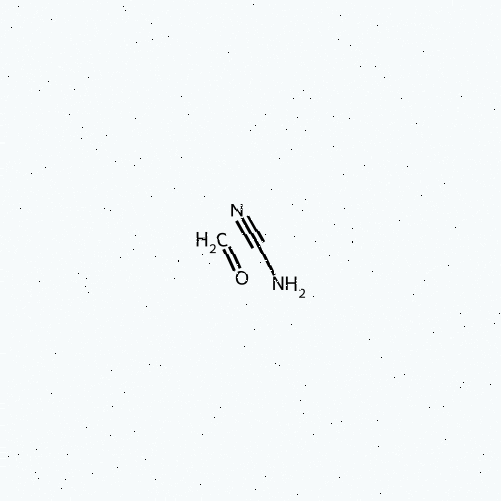 C=O.N#CN